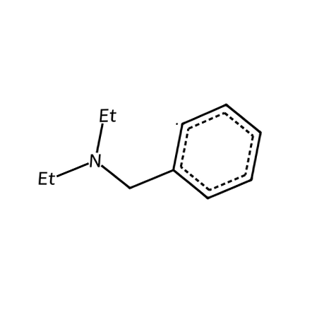 CCN(CC)Cc1[c]cccc1